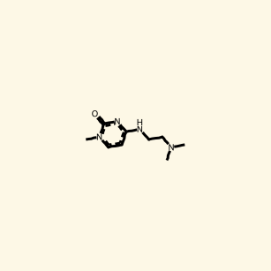 CN(C)CCNc1ccn(C)c(=O)n1